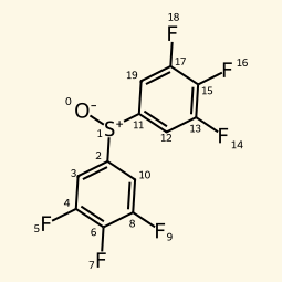 [O-][S+](c1cc(F)c(F)c(F)c1)c1cc(F)c(F)c(F)c1